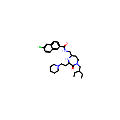 CCC(CC)CN1CCC(CNC(=O)c2ccc3cc(Cl)ccc3c2)NC(CCN2CCCCC2)C1=O